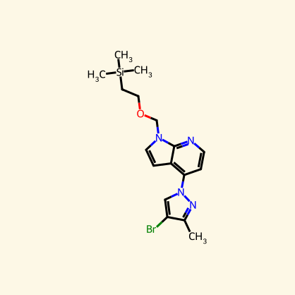 Cc1nn(-c2ccnc3c2ccn3COCC[Si](C)(C)C)cc1Br